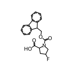 O=C(O)C1CC(F)CN1C(=O)OCC1c2ccccc2-c2ccccc21